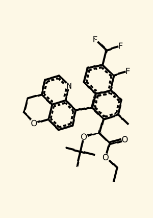 CCOC(=O)[C@@H](OC(C)(C)C)c1c(C)cc2c(F)c(C(F)F)ccc2c1-c1ccc2c3c(ccnc13)CCO2